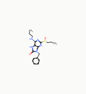 CCCNc1nc([S+]([O-])CCC)nc2c1[nH]c(=O)n2Cc1ccccc1